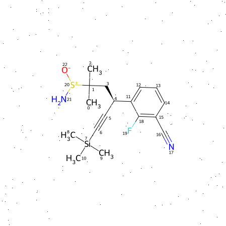 CC(C)(C[C@H](C#C[Si](C)(C)C)c1cccc(C#N)c1F)[S+](N)[O-]